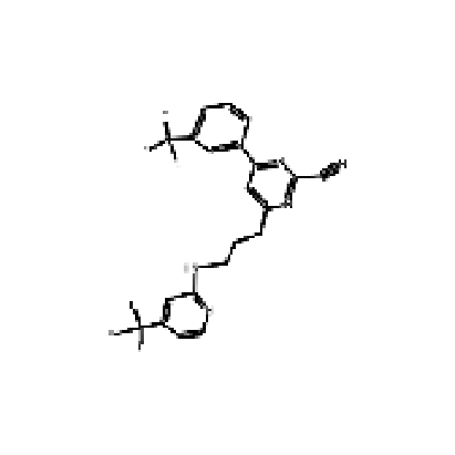 N#Cc1nc(CCCNc2cc(C(F)(F)F)ccn2)cc(-c2cccc(C(F)(F)F)c2)n1